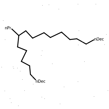 [CH2]CCC(CCCCCCCCCCCCCCC)CCCCCCCCCCCCCCCCCC